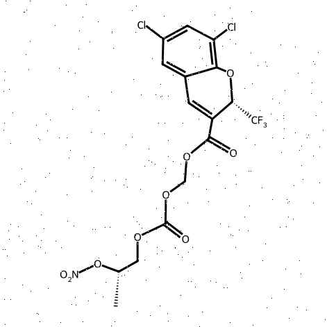 C[C@@H](COC(=O)OCOC(=O)C1=Cc2cc(Cl)cc(Cl)c2O[C@@H]1C(F)(F)F)O[N+](=O)[O-]